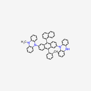 Cc1ccccc1-c1c2cc(N3c4ccccc4Nc4ccccc43)ccc2c(-c2cccc3ccccc23)c2cc(N3c4ccccc4N(C)c4ccccc43)ccc12